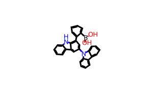 OB(O)c1ccccc1-c1cc(-n2c3ccccc3c3ccccc32)cc2c1[nH]c1ccccc12